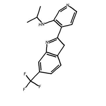 CC(C)Nc1cnccc1C1=Nc2cc(C(F)(F)F)ccc2C1